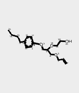 C=CCOCC(COc1ccc(CCCC)cc1)OCCO